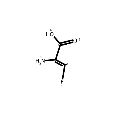 NC(=CF)C(=O)O